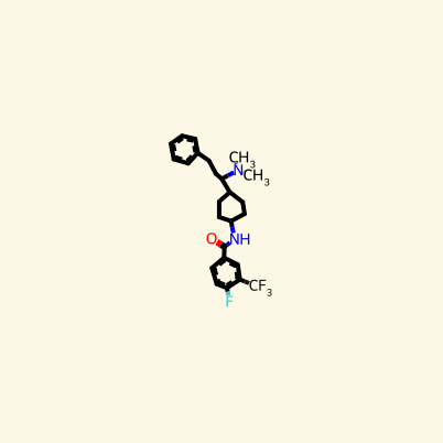 CN(C)C(CCc1ccccc1)C1CCC(NC(=O)c2ccc(F)c(C(F)(F)F)c2)CC1